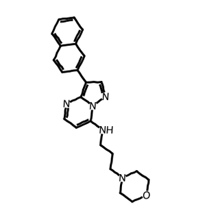 c1ccc2cc(-c3cnn4c(NCCCN5CCOCC5)ccnc34)ccc2c1